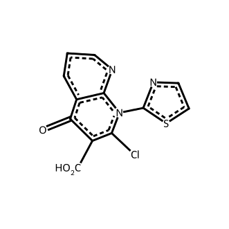 O=C(O)c1c(Cl)n(-c2nccs2)c2ncccc2c1=O